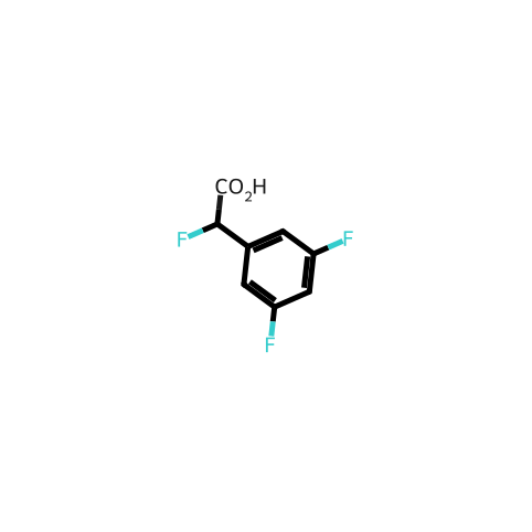 O=C(O)C(F)c1cc(F)cc(F)c1